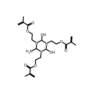 C=C(C)C(=O)OCCN1C(N)N(CCOC(=O)C(=C)C)C(O)N(CCOC(=O)C(=C)C)C1O